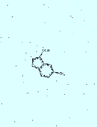 Cc1ccc2ccn(C(=O)O)c2c1